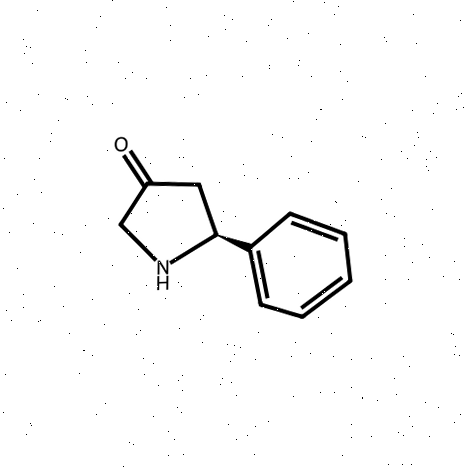 O=C1CN[C@H](c2ccccc2)C1